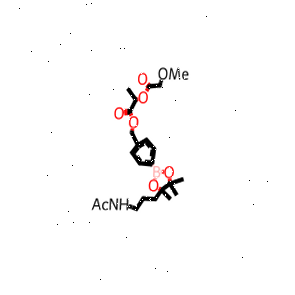 COCC(=O)OC(C)C(=O)OCc1ccc(B2OC(C)(C)C(C)(CCCNC(C)=O)O2)cc1